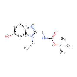 CCn1c(CNC(=O)OC(C)(C)C)nc2ccc(O)cc21